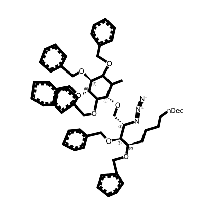 CCCCCCCCCCCCCC[C@@H](OCc1ccccc1)[C@@H](OCc1ccccc1)[C@H](CO[C@H]1C(C)C(OCc2ccccc2)[C@H](OCc2ccccc2)[C@@H](OCc2ccccc2)C1OCc1ccccc1)N=[N+]=[N-]